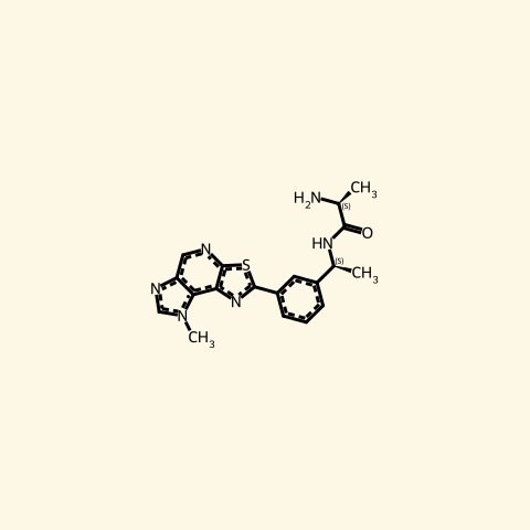 C[C@H](N)C(=O)N[C@@H](C)c1cccc(-c2nc3c(ncc4ncn(C)c43)s2)c1